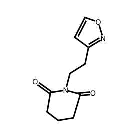 O=C1CCCC(=O)N1CCc1ccon1